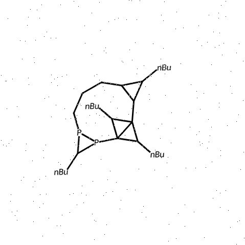 CCCCC1C2CCCP3C(CCCC)P3C34C(CCCC)C3(C12)C4CCCC